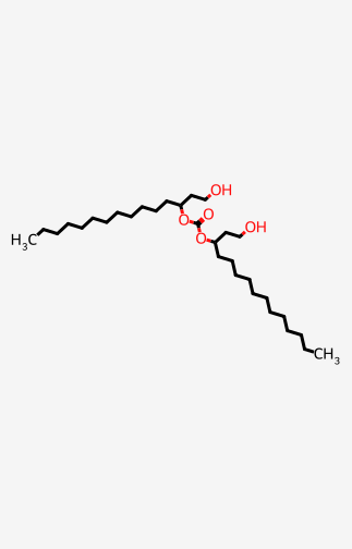 CCCCCCCCCCCCC(CCO)OC(=O)OC(CCO)CCCCCCCCCCCC